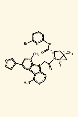 Cc1cc(-c2ccoc2)cc2c3c(N)ncnc3n(CC(=O)N3[C@H](C(=O)Nc4cccc(Br)n4)C[C@@]4(C)C[C@@H]34)c12